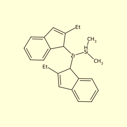 CCC1=Cc2ccccc2[CH]1[Zr]([CH]1C(CC)=Cc2ccccc21)[SiH](C)C